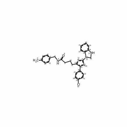 Cc1ccc(CNC(=O)CCCc2sc(N3CNc4ccccc43)nc2-c2ccc(Cl)cc2)cc1